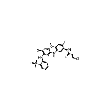 COc1cc(F)c(NC(=O)C=CCl)cc1Nc1ncc(Cl)c(Nc2ccccc2P(C)(C)=O)n1